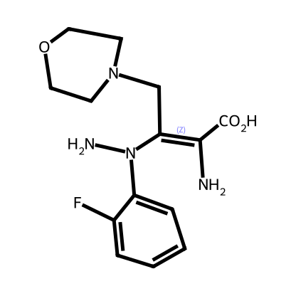 N/C(C(=O)O)=C(/CN1CCOCC1)N(N)c1ccccc1F